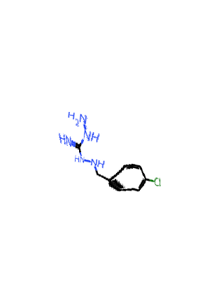 N=C(NN)NNCc1ccc(Cl)cc1